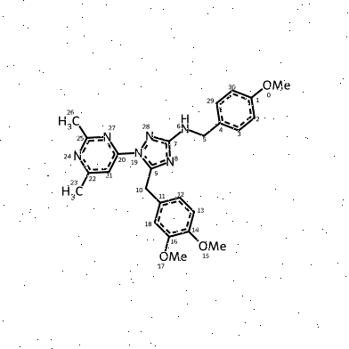 COc1ccc(CNc2nc(Cc3ccc(OC)c(OC)c3)n(-c3cc(C)nc(C)n3)n2)cc1